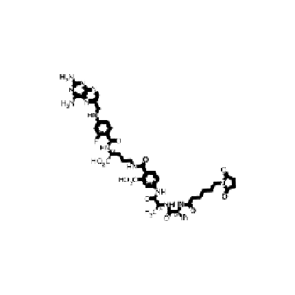 CC(C)[C@H](NC(=O)CCCCCN1C(=O)C=CC1=O)C(=O)N[C@@H](C)C(=O)Nc1ccc(C(=O)NCCC[C@H](NC(=O)c2ccc(NCc3cnc4nc(N)nc(N)c4n3)cc2F)C(=O)O)c(C(=O)O)c1